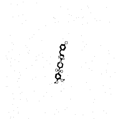 COc1ccc(S(=O)(=O)C2CCN(c3nc(Cc4ccc(Cl)cc4)cs3)CC2)cc1OC